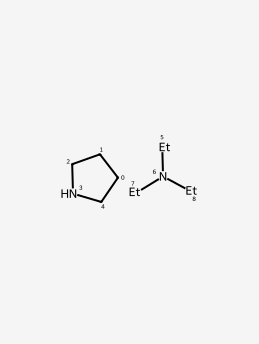 C1CCNC1.CCN(CC)CC